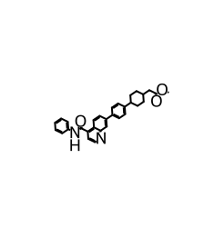 COC(=O)CC1CCC(c2ccc(-c3ccc4c(C(=O)Nc5ccccc5)ccnc4c3)cc2)CC1